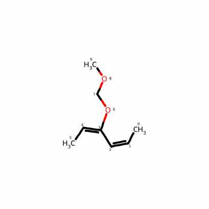 C/C=C\C(=C/C)OCOC